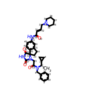 C[C@@H](C1CC1)N(Cc1ccccc1)C(=O)CN1C(=O)NC(=O)C12CCc1cc(NC(=O)/C=C/CN3CCCCC3)ccc12